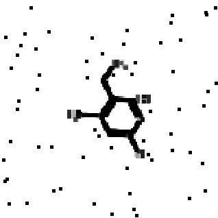 Cl.NCc1cnc(Cl)cc1N